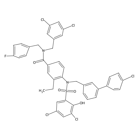 CCc1cc(C(=O)N(Cc2ccc(F)cc2)Cc2cc(Cl)cc(Cl)c2)ccc1N(Cc1cccc(-c2ccc(Cl)cc2)c1)S(=O)(=O)c1cc(Cl)cc(Cl)c1O